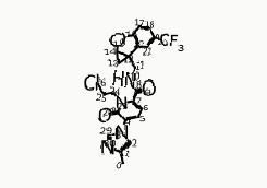 Cc1cn(-c2ccc(C(=O)NCC34CC3Oc3ccc(C(F)(F)F)cc34)n(CCCl)c2=O)cn1